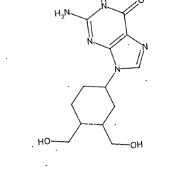 Nc1nc2c(ncn2C2CCC(CO)C(CO)C2)c(=O)[nH]1